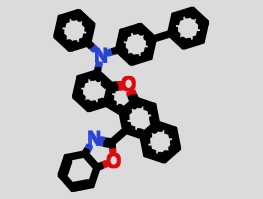 C1=CC2N=C(c3c4ccccc4cc4oc5c(N(c6ccccc6)c6ccc(-c7ccccc7)cc6)cccc5c34)OC2C=C1